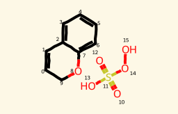 C1=Cc2ccccc2OC1.O=S(=O)(O)OO